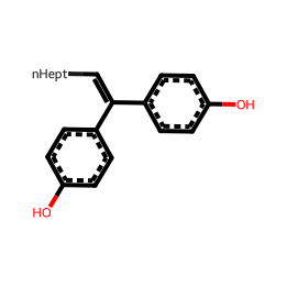 CCCCCCCC=C(c1ccc(O)cc1)c1ccc(O)cc1